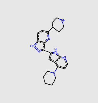 c1cc(N2CCCCC2)c2cc(-c3n[nH]c4ccc(C5CCNCC5)nc34)[nH]c2n1